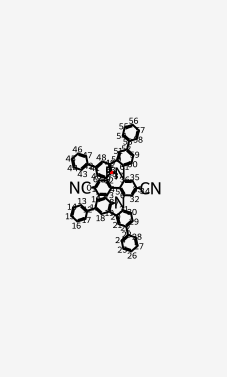 N#Cc1ccc(-c2c(-n3c4ccc(-c5ccccc5)cc4c4cc(-c5ccccc5)ccc43)cc(C#N)cc2-n2c3ccc(-c4ccccc4)cc3c3cc(-c4ccccc4)ccc32)c(F)c1